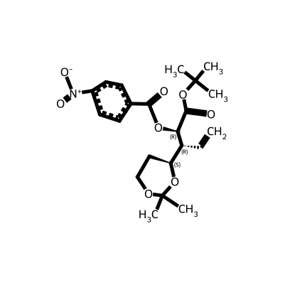 C=C[C@H]([C@@H]1CCOC(C)(C)O1)[C@@H](OC(=O)c1ccc([N+](=O)[O-])cc1)C(=O)OC(C)(C)C